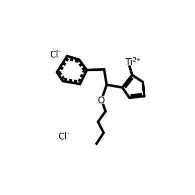 CCCCOC(Cc1ccccc1)C1=[C]([Ti+2])CC=C1.[Cl-].[Cl-]